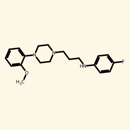 COc1ccccc1N1CCN(CCCNc2ccc(F)cc2)CC1